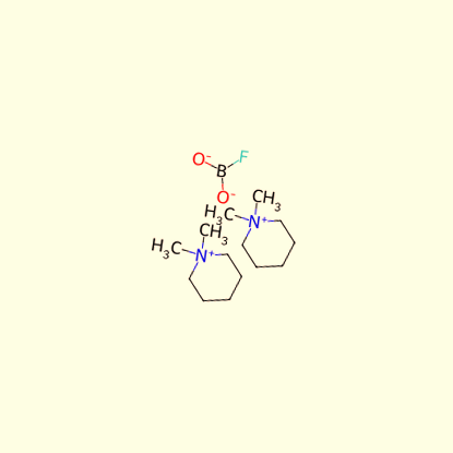 C[N+]1(C)CCCCC1.C[N+]1(C)CCCCC1.[O-]B([O-])F